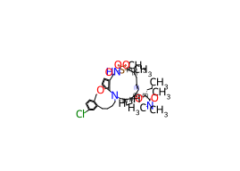 CC(C)C[C@@H](O[C@H]1/C=C/C[C@H](C)[C@@H](C)S(=O)(=O)NC(=O)c2ccc3c(c2)N(CCCCc2cc(Cl)ccc2CO3)C[C@@H]2CC[C@H]21)C(=O)N(C)C